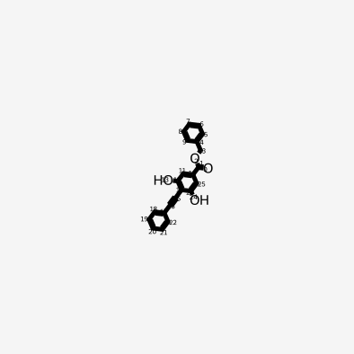 O=C(OCc1ccccc1)c1cc(O)c(C#Cc2ccccc2)c(O)c1